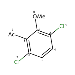 COc1c(Cl)ccc(Cl)c1C(C)=O